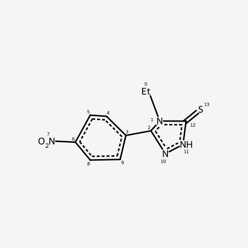 CCn1c(-c2ccc([N+](=O)[O-])cc2)n[nH]c1=S